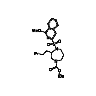 COc1nc(S(=O)(=O)N2CCCN(C(=O)OC(C)(C)C)CC2CCC(C)C)cc2ccccc12